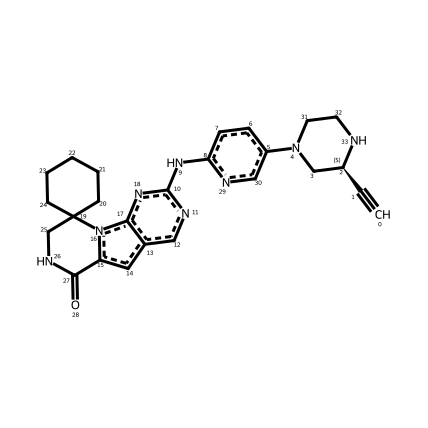 C#C[C@H]1CN(c2ccc(Nc3ncc4cc5n(c4n3)C3(CCCCC3)CNC5=O)nc2)CCN1